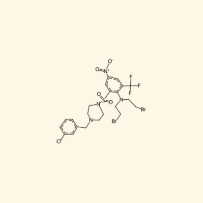 O=[N+]([O-])c1cc(C(F)(F)F)c(N(CCBr)CCBr)c(S(=O)(=O)N2CCN(Cc3cccc(Cl)c3)CC2)c1